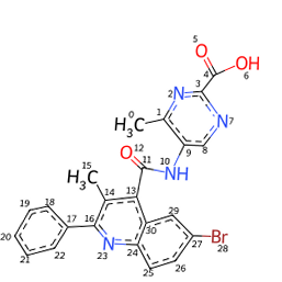 Cc1nc(C(=O)O)ncc1NC(=O)c1c(C)c(-c2ccccc2)nc2ccc(Br)cc12